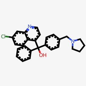 OC(c1ccccc1)(c1ccc(CN2CCCC2)cc1)c1ccnc2cc(Cl)ccc12